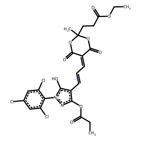 CCOC(=O)CCC1(C)OC(=O)C(=C/C=C/c2c(OC(=O)CC)nn(-c3c(Cl)cc(Cl)cc3Cl)c2O)C(=O)O1